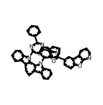 c1ccc(-c2nc(-c3ccccc3)nc(-n3c4ccccc4c4ccc5c6ccccc6n(-c6cccc7nc(-c8ccc9oc%10ncccc%10c9c8)oc67)c5c43)n2)cc1